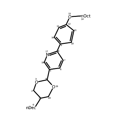 CCCCCCCCCCC1COC(c2ccc(-c3ccc(OCCCCCCCC)cc3)nc2)OC1